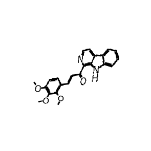 COc1ccc(/C=C/C(=O)c2nccc3c2[nH]c2ccccc23)c(OC)c1OC